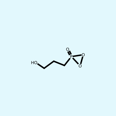 O=P1(CCCO)OO1